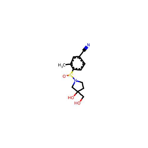 Cc1cc(C#N)ccc1[S+]([O-])N1CCC(O)(CO)C1